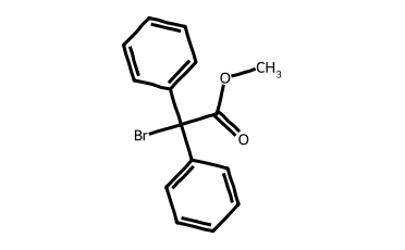 COC(=O)C(Br)(c1ccccc1)c1ccccc1